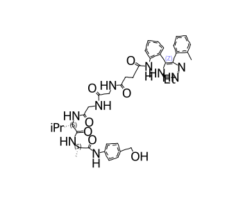 CCN/C(=C(\N=N)c1ccccc1C)c1ccccc1NC(=O)CCC(=O)NCC(=O)NCC(=O)N[C@H](C(=O)N[C@@H](C)C(=O)Nc1ccc(CO)cc1)C(C)C